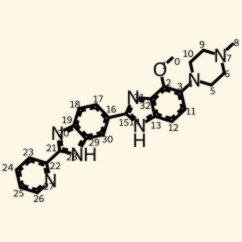 COc1c(N2CCN(C)CC2)ccc2[nH]c(-c3ccc4nc(-c5ccccn5)[nH]c4c3)nc12